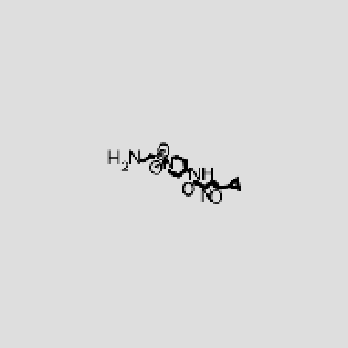 NCCS(=O)(=O)N1CCC(NC(=O)c2cc(C3CC3)on2)CC1